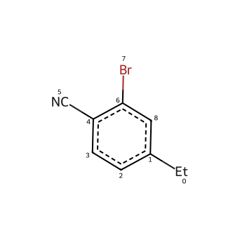 CCc1ccc(C#N)c(Br)c1